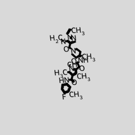 C=Nc1c(C(=O)N2CCC(C)(NC(=O)C(=O)c3c(C)c(C(=O)Nc4ccc(F)c(C)c4)c(C)n3C)CC2)cnn1/C=C\C